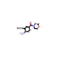 COc1cc(C(=O)N2CCOCC2)ccc1N